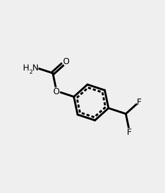 NC(=O)Oc1ccc(C(F)F)cc1